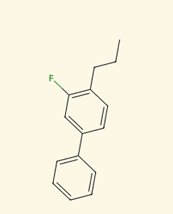 CCCc1ccc(-c2ccccc2)cc1F